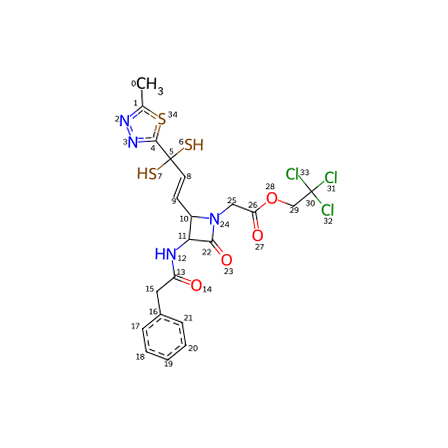 Cc1nnc(C(S)(S)C=CC2C(NC(=O)Cc3ccccc3)C(=O)N2CC(=O)OCC(Cl)(Cl)Cl)s1